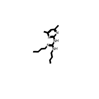 CCCCN=C(NCCCC)Nc1nc(C)cc(C)n1